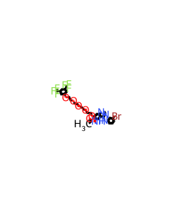 CC(=O)Nc1cc2c(Nc3cccc(Br)c3)ncnc2cc1OCCOCCOCCOCCOc1cc(C(F)(F)F)cc(C(F)(F)F)c1